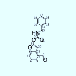 O=Cc1cccc2oc(OC(=O)NCc3ccccc3)cc12